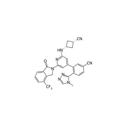 Cn1cnnc1-c1ccc(C#N)cc1-c1cc(N[C@H]2C[C@@H](C#N)C2)nc(N2Cc3c(cccc3C(F)(F)F)C2=O)c1